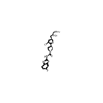 CC(=O)NC[C@@H](O)Cc1cnc(C2=CCN(C(=O)Nc3nc4ccc(F)cc4s3)CC2)c(Cl)c1